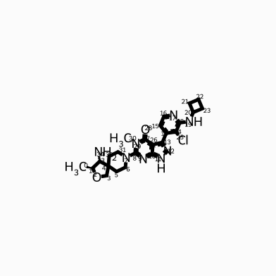 C[C@@H]1OCC2(CCN(c3nc4[nH]nc(-c5ccnc(NC6CCC6)c5Cl)c4c(=O)n3C)CC2)[C@@H]1N